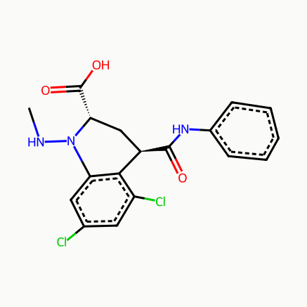 CNN1c2cc(Cl)cc(Cl)c2[C@H](C(=O)Nc2ccccc2)C[C@H]1C(=O)O